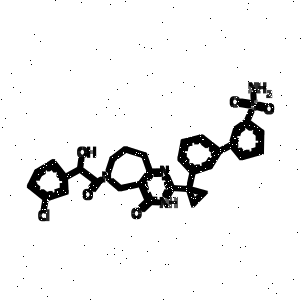 NS(=O)(=O)c1cccc(-c2cccc(C3(c4nc5c(c(=O)[nH]4)CN(C(=O)C(O)c4cccc(Cl)c4)CCC5)CC3)c2)c1